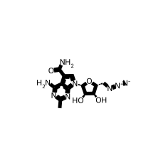 Cc1nc(N)c2c(C(N)=O)cn([C@@H]3O[C@H](CN=[N+]=[N-])[C@@H](O)[C@H]3O)c2n1